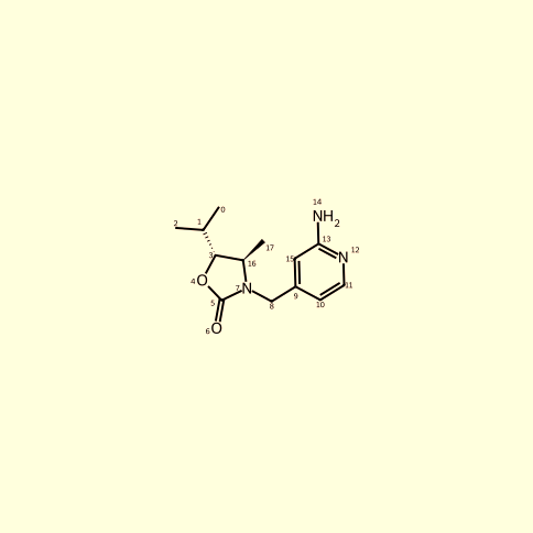 CC(C)[C@H]1OC(=O)N(Cc2ccnc(N)c2)[C@@H]1C